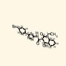 CCn1c(=O)c(C(=O)Nc2nnc(-c3ccc(Br)cn3)s2)c(O)c2ccccc21